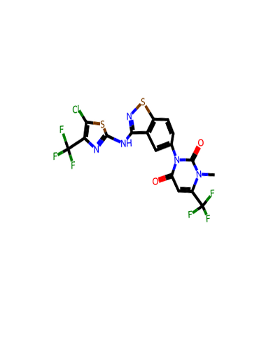 Cn1c(C(F)(F)F)cc(=O)n(-c2ccc3snc(Nc4nc(C(F)(F)F)c(Cl)s4)c3c2)c1=O